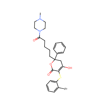 CC(C)c1ccccc1SC1=C(O)CC(CCCCC(=O)N2CCN(C)CC2)(c2ccccc2)OC1=O